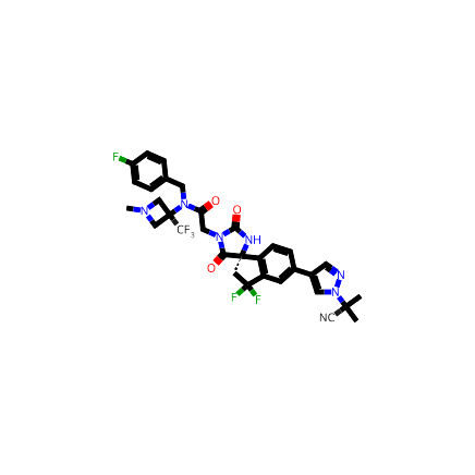 CN1CC(N(Cc2ccc(F)cc2)C(=O)CN2C(=O)N[C@]3(CC(F)(F)c4cc(-c5cnn(C(C)(C)C#N)c5)ccc43)C2=O)(C(F)(F)F)C1